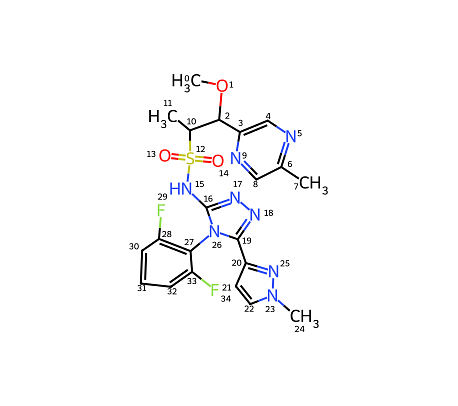 COC(c1cnc(C)cn1)C(C)S(=O)(=O)Nc1nnc(-c2ccn(C)n2)n1-c1c(F)cccc1F